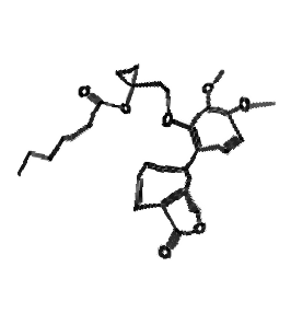 CCCCCC(=O)OC1(COc2c(-c3cccc4c3COC4=O)ccc(OC)c2OC)CC1